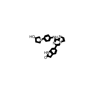 O=C1Cc2ccc(-c3cn4ccnc4c(Nc4ccc(N5CC[C@@H](O)C5)cc4)n3)cc2N1